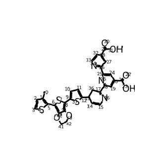 Cc1ccsc1-c1sc(-c2ccc(C3C=CN=C(c4cc(C(=O)O)cc(-c5cc(C(=O)O)ccn5)n4)C3)s2)c2c1OCCO2